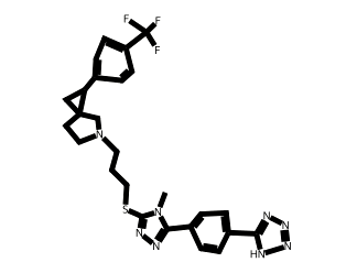 Cn1c(SCCCN2CCC3(CC3c3ccc(C(F)(F)F)cc3)C2)nnc1-c1ccc(-c2nnn[nH]2)cc1